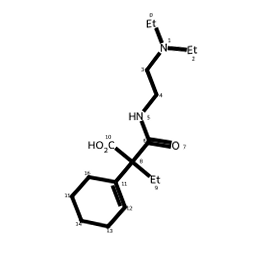 CCN(CC)CCNC(=O)C(CC)(C(=O)O)C1=CCCCC1